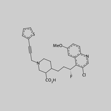 COc1ccc2ncc(Cl)c([C@H](F)CCC3CCN(CC#Cc4cccs4)CC3C(=O)O)c2c1